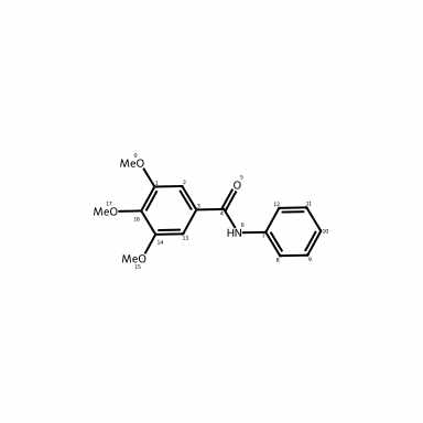 COc1cc(C(=O)Nc2ccccc2)cc(OC)c1OC